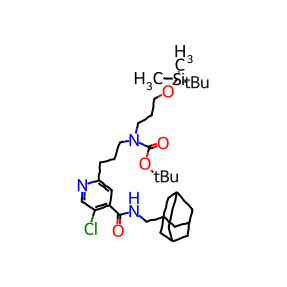 CC(C)(C)OC(=O)N(CCCO[Si](C)(C)C(C)(C)C)CCCc1cc(C(=O)NCC23CC4CC(CC(C4)C2)C3)c(Cl)cn1